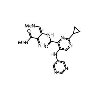 CN/C=C(/NC(=O)c1nc(C2CC2)ncc1Nc1cncnc1)C(=N)C(=O)NC